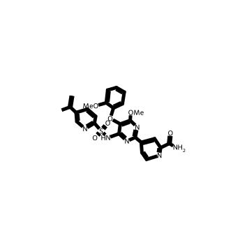 C=C(C)c1ccc(S(=O)(=O)Nc2nc(-c3ccnc(C(N)=O)c3)nc(OC)c2Oc2ccccc2OC)nc1